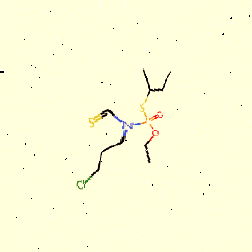 CCOP(=O)(SC(C)CC)N(C=S)CCCCl